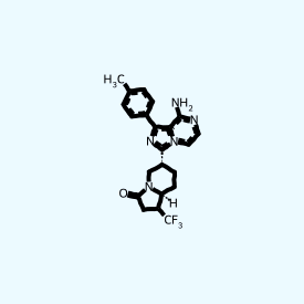 Cc1ccc(-c2nc([C@@H]3CC[C@H]4C(C(F)(F)F)CC(=O)N4C3)n3ccnc(N)c23)cc1